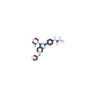 CCNC(=O)Nc1ccc(-c2nc3c(c(N4CCOC[C@@H]4C)n2)CCN(C[C@@H]2CCOC2)C3)cc1